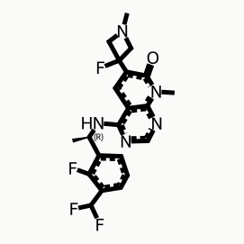 C[C@@H](Nc1ncnc2c1cc(C1(F)CN(C)C1)c(=O)n2C)c1cccc(C(F)F)c1F